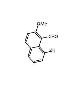 [2H]c1cccc2ccc(OC)c(C=O)c12